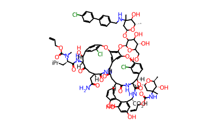 C=CCOC(=O)NC1(C)C[C@H](O[C@@H]2c3ccc(c(Cl)c3)Oc3cc4cc(c3O[C@@H]3OC(CO)[C@@H](O)C(O)C3O[C@H]3CC(C)(NCc5ccc(-c6ccc(Cl)cc6)cc5)[C@@H](O)[C@H](C)O3)Oc3ccc(cc3Cl)[C@@H](O)[C@@H](NC(=O)[C@@H](CC(C)C)N(C)C(=O)OCC=C)C(=O)C[C@@H](CC(N)=O)C(=O)N[C@H]4C(=O)C[C@H]3C(=O)N[C@@H]2C(=O)N[C@H](C(=O)O)c2cc(O)cc(O)c2-c2cc3ccc2O)O[C@@H](C)[C@@H]1O